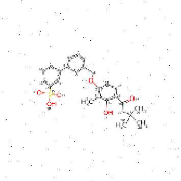 Cc1c(OCc2cccc(-c3cccc(S(=O)(=O)O)c3)c2)ccc(C(=O)CC(C)(C)C)c1O